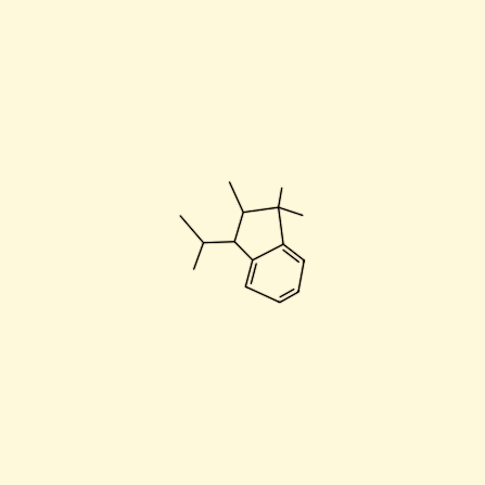 CC(C)C1c2ccccc2C(C)(C)C1C